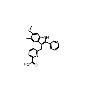 COc1cc2[nH]c(-c3cccnc3)c(Cc3cccc(C(=O)O)n3)c2cc1C